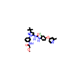 COCC(=O)Nc1cccc(-n2nc(C(C)(C)C)cc2NC(=O)Nc2ccc(Oc3ccnc(C)c3)cc2F)c1